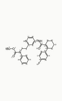 CC(C)(C)OC(=O)N(CCc1cc(NC(=O)C2=C(c3ccc(F)cc3)CCCC2)ccn1)c1ccccc1